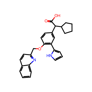 O=C(O)C(c1ccc(OCc2ccc3ccccc3n2)c(-c2ccc[nH]2)c1)C1CCCC1